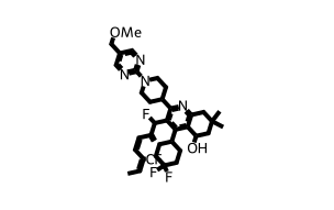 C=C(/C=C\C(=C/C)C(F)(F)F)C(F)c1c(C2CCN(c3ncc(COC)cn3)CC2)nc2c(c1C1CCC(F)(F)CC1)C(O)CC(C)(C)C2